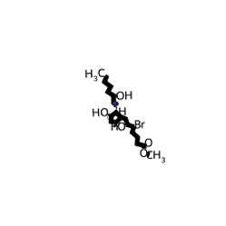 CCCCC[C@H](O)/C=C/[C@@H]1[C@H]2CC(C(Br)CCCC(=O)OC)O[C@@H]2C[C@H]1O